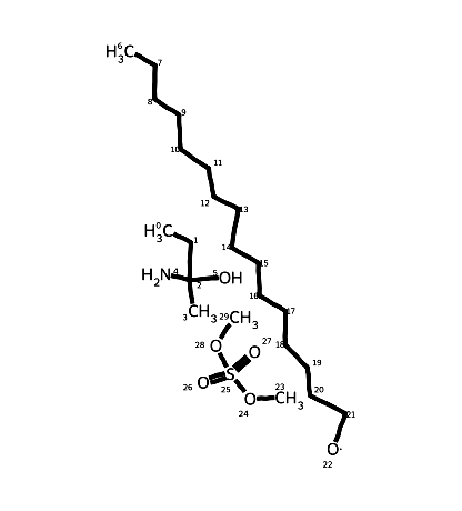 CCC(C)(N)O.CCCCCCCCCCCCCCCC[O].COS(=O)(=O)OC